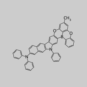 Cc1cc2c3c(c1)Oc1cc4c5cc6ccc(N(c7ccccc7)c7ccccc7)cc6cc5n(-c5ccccc5)c4cc1B3c1ccccc1O2